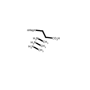 CCCCCCCCCC(=O)O.CN.CN.CN